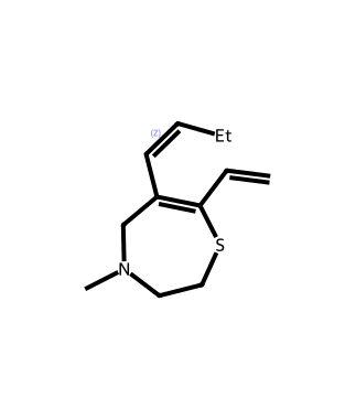 C=CC1=C(/C=C\CC)CN(C)CCS1